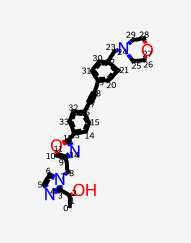 CC(O)c1nccn1Cc1coc(-c2ccc(C#Cc3ccc(CN4CCOCC4)cc3)cc2)n1